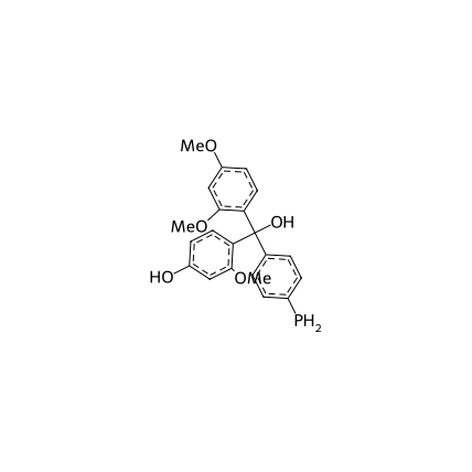 COc1ccc(C(O)(c2ccc(P)cc2)c2ccc(O)cc2OC)c(OC)c1